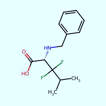 CC(C)C(F)(F)[C@@H](NCc1ccccc1)C(=O)O